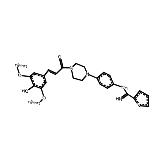 CCCCCOc1cc(C=CC(=O)N2CCN(c3ccc(NC(=N)c4cccs4)cc3)CC2)cc(OCCCCC)c1O